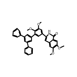 COc1cc2cc(-c3cc(OC)c(OC)c(-c4cc(-c5ccccc5)cc(-c5ccccc5)c4)c3)[nH]c(=O)c2cc1OC